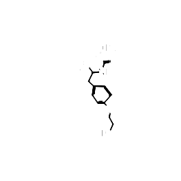 CC(C)(C)OC(=O)NC(Cc1ccc(OCCBr)cc1)C(=O)O